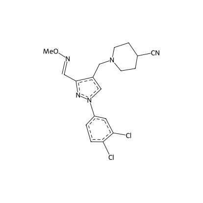 CON=Cc1nn(-c2ccc(Cl)c(Cl)c2)cc1CN1CCC(C#N)CC1